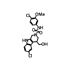 COc1cc(NS(=O)(=O)N2Cc3[nH]c4ccc(Cl)cc4c3C(CO)C2)ccc1Cl